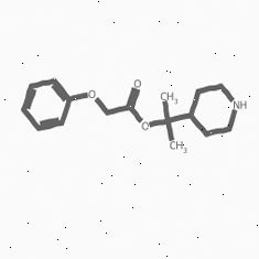 CC(C)(OC(=O)COc1ccccc1)C1CCNCC1